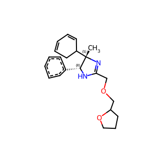 C[C@@]1(C2C=CC=CC2)N=C(COCC2CCCO2)N[C@@H]1c1ccccc1